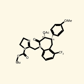 COc1ccc([C@@H]2Cc3c(cccc3C(F)(F)F)N(CC3=NCCN3C(=O)OC(C)(C)C)C(=O)[C@@H]2OC(C)=O)cc1